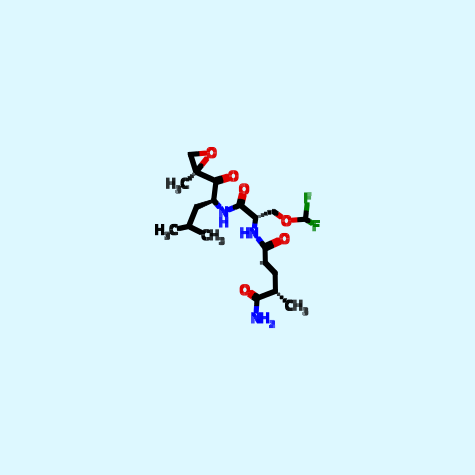 CC(C)C[C@H](NC(=O)[C@H](COC(F)F)NC(=O)[CH]C[C@H](C)C(N)=O)C(=O)[C@@]1(C)CO1